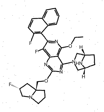 CCOc1nc(-c2c(F)ccc3ccccc23)c(F)c2nc(OC[C@@]34CCCN3C[C@H](F)C4)nc(N3C[C@H]4CC[C@@H](C3)N4)c12